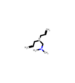 C=CC[SiH](CC=C)CN(C)C